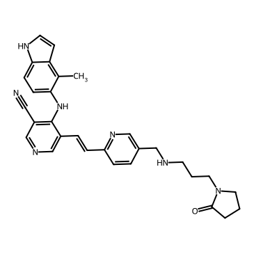 Cc1c(Nc2c(C#N)cncc2C=Cc2ccc(CNCCCN3CCCC3=O)cn2)ccc2[nH]ccc12